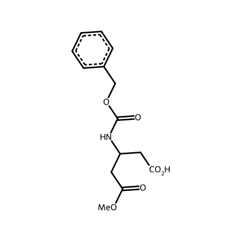 COC(=O)CC(CC(=O)O)NC(=O)OCc1ccccc1